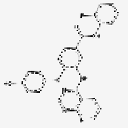 O=C(Nc1ccccc1F)c1ccc(Sc2ccc(O)cc2)c(Nc2ncnc3ncccc23)c1